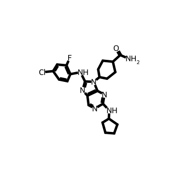 NC(=O)C1CCC(n2c(Nc3ccc(Cl)cc3F)nc3cnc(NC4CCCC4)nc32)CC1